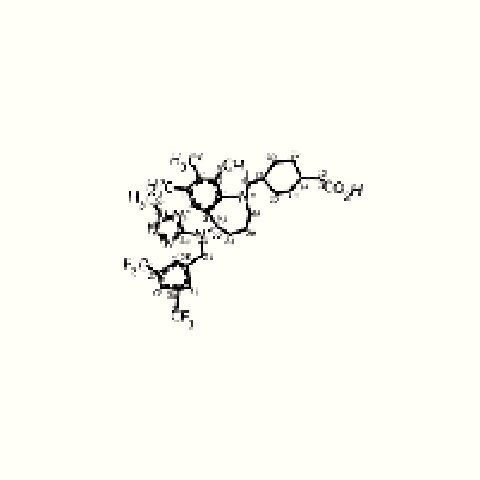 Cc1cc2c(c(C)c1C)N(CC1CCC(CC(=O)O)CC1)CCC[C@@H]2N(Cc1cc(C(F)(F)F)cc(C(F)(F)F)c1)c1nnn(C)n1